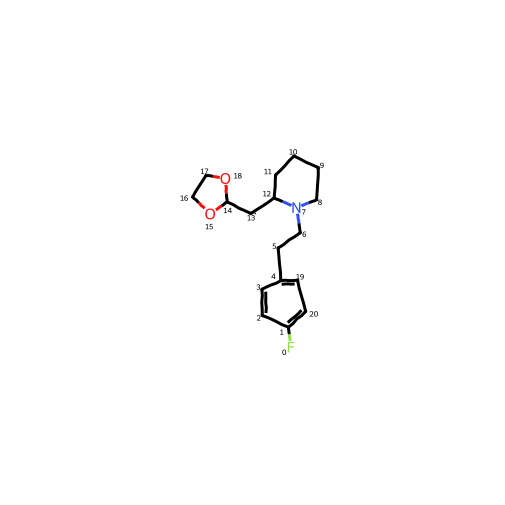 Fc1ccc(CCN2CCCCC2[CH]C2OCCO2)cc1